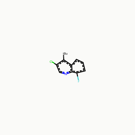 CC(C)(C)c1c(Cl)cnc2c(F)cccc12